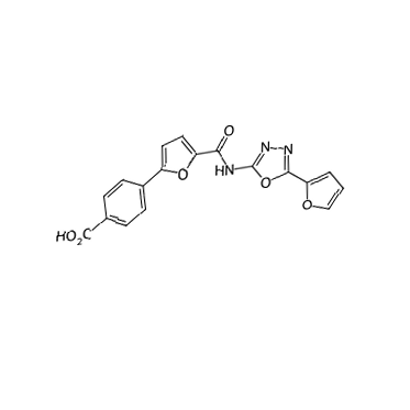 O=C(O)c1ccc(-c2ccc(C(=O)Nc3nnc(-c4ccco4)o3)o2)cc1